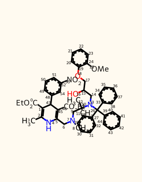 CCOC(=O)C1=C(C)NC(CN(C)CC(C)(C)N(CC(O)COc2ccccc2OC)C(c2ccccc2)(c2ccccc2)c2ccccc2)=C(C(=O)OCC)C1c1cccc([N+](=O)[O-])c1